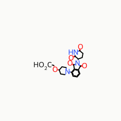 O=C(O)COC1CCN(c2cccc3c2C(=O)N(C2CCC(=O)NC2=O)C3=O)CC1